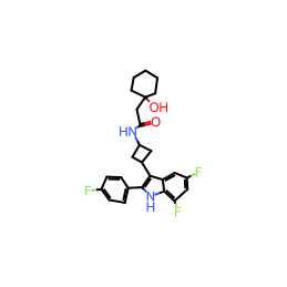 O=C(CC1(O)CCCCC1)NC1CC(c2c(-c3ccc(F)cc3)[nH]c3c(F)cc(F)cc23)C1